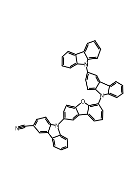 N#Cc1ccc2c(c1)c1ccccc1n2-c1ccc2oc3c(-n4c5ccccc5c5cc(-n6c7ccccc7c7ccccc76)ccc54)cccc3c2c1